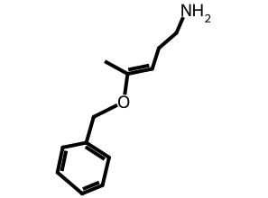 C/C(=C\CCN)OCc1ccccc1